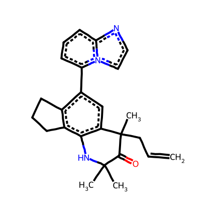 C=CCC1(C)C(=O)C(C)(C)Nc2c1cc(-c1cccc3nccn13)c1c2CCC1